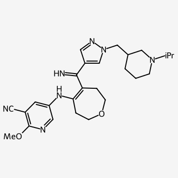 COc1ncc(NC2=C(C(=N)c3cnn(CC4CCCN(C(C)C)C4)c3)CCOCC2)cc1C#N